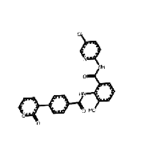 O=C(Nc1c(O)cccc1C(=O)Nc1ccc(Cl)cn1)c1ccc(-c2cccoc2=O)cc1